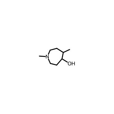 CC1CCN(C)CCC1O